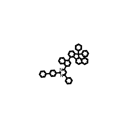 c1ccc(-c2ccc(-c3nc(-c4ccccc4)cc(-c4ccc(-c5cccc6c5-c5ccc7ccccc7c5C6(c5ccccc5)c5ccccc5)c5ccccc45)n3)cc2)cc1